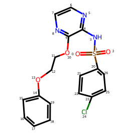 O=S(=O)(Nc1nccnc1OCCOc1ccccc1)c1ccc(Cl)cc1